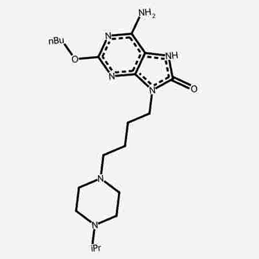 CCCCOc1nc(N)c2[nH]c(=O)n(CCCCN3CCN(C(C)C)CC3)c2n1